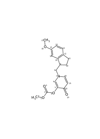 COC(=O)Oc1cn(CC2CCc3ccc(OC)cc32)ccc1=O